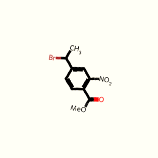 COC(=O)c1ccc(C(C)Br)cc1[N+](=O)[O-]